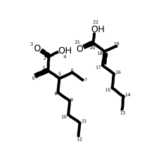 C=C(C(=O)O)C(CC)CCCCC.CCCC/C=C(\C)C(=O)O